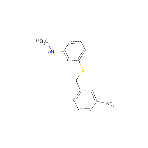 O=C(O)Nc1cccc(SCc2cccc([N+](=O)[O-])c2)c1